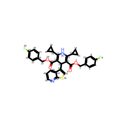 O=C(OCc1ccc(F)cc1)C1=C(C2CC2)NC(C2CC2)=C(C(=O)OCc2ccc(F)cc2)C1c1csc2ncccc12